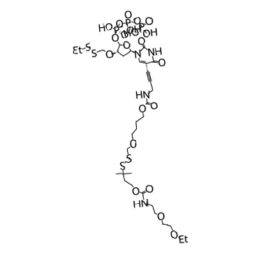 CCOCCOCCNC(=O)OCCC(C)(C)SSCOCCCCOC(=O)NCC#Cc1cn([C@H]2C[C@@H](OCSSCC)C(OP(=O)(O)OP(=O)(O)OP(=O)(O)O)O2)c(=O)[nH]c1=O